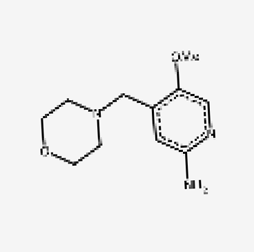 COc1cnc(N)cc1CN1CCOCC1